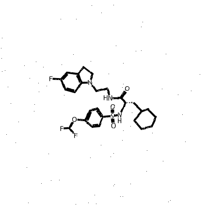 O=C(NCCN1CCc2cc(F)ccc21)[C@H](CC1CCCCC1)NS(=O)(=O)c1ccc(OC(F)F)cc1